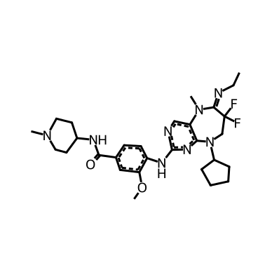 CC/N=C1/N(C)c2cnc(Nc3ccc(C(=O)NC4CCN(C)CC4)cc3OC)nc2N(C2CCCC2)CC1(F)F